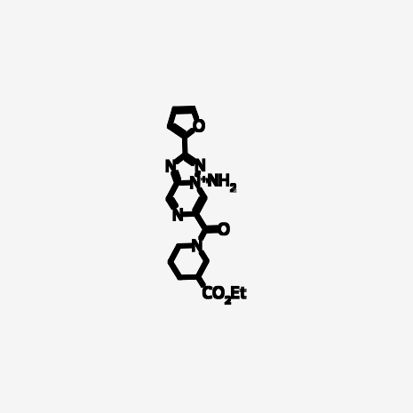 CCOC(=O)C1CCCN(C(=O)C2=C[N+]3(N)N=C(c4ccco4)N=C3C=N2)C1